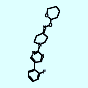 Fc1ccccc1-c1cnc(N2CCC(=NOC3CCCCO3)CC2)nc1